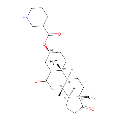 C[C@]12CC[C@H](OC(=O)C3CCCNC3)CC1C(=O)C[C@@H]1[C@@H]2CC[C@]2(C)C(=O)CC[C@@H]12